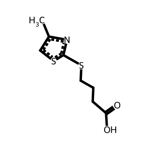 Cc1csc(SCCCC(=O)O)n1